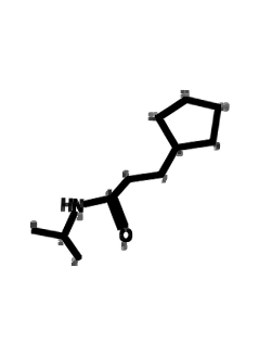 CC(C)NC(=O)CCC1CCCC1